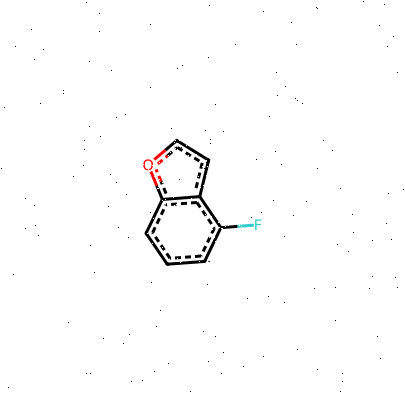 Fc1[c]ccc2occc12